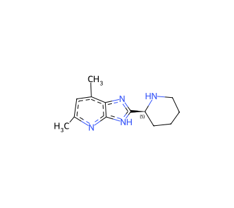 Cc1cc(C)c2nc([C@@H]3CCCCN3)[nH]c2n1